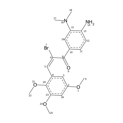 COc1cc(/C=C(/Br)C(=O)c2ccc(N)c(N(C)C)c2)c(OC)c(OC)c1